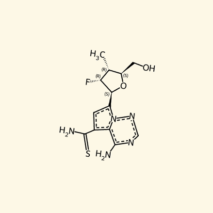 C[C@H]1[C@@H](F)[C@H](c2cc(C(N)=S)c3c(N)ncnn23)O[C@@H]1CO